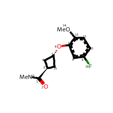 CNC(=O)[C@H]1C[C@H](Oc2cc(F)ccc2OC)C1